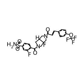 NS(=O)(=O)c1ccc(C(=O)N2C[C@@H]3CN(C(=O)/C=C/c4ccc(OC(F)(F)F)cc4)C[C@@]3(F)C2)c(F)c1